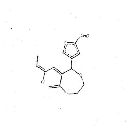 C=C1CCCOC(c2csc(C=O)c2)/C1=C/C(Cl)=C\C